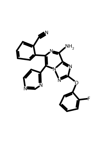 N#Cc1ccccc1-c1nc(N)c2nc(Oc3ccccc3F)nn2c1-c1ccncn1